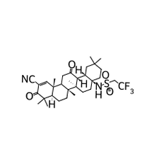 CC1(C)CC[C@]2(NS(=O)(=O)CC(F)(F)F)CC[C@]3(C)[C@H](C(=O)CC4[C@@]5(C)C=C(C#N)C(=O)C(C)(C)[C@@H]5CC[C@]43C)[C@@H]2C1